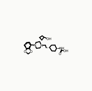 O=C(O)N[C@H]1CC[C@H](CCN2CCN(c3cccc4c3OCO4)CC2)CC1.OC1CCC1